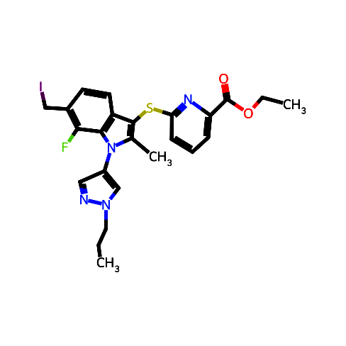 CCCn1cc(-n2c(C)c(Sc3cccc(C(=O)OCC)n3)c3ccc(CI)c(F)c32)cn1